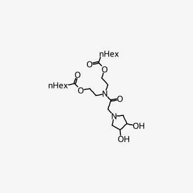 CCCCCCC(=O)OCCN(CCOC(=O)CCCCCC)C(=O)CN1CC(O)C(O)C1